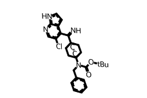 CC(C)(C)OC(=O)N(Cc1ccccc1)C12CCC(C(=N)c3c(Cl)cnc4[nH]ccc34)(CC1)CC2